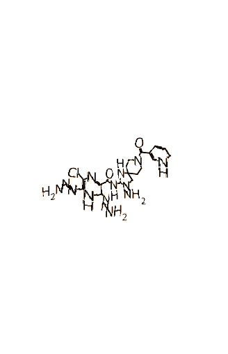 NN=NC1=C(Cl)N=C(C(=O)NC2NC3(CCN(C(=O)C4=CNCC=C4)CC3)CN2N)C(N=NN)N1